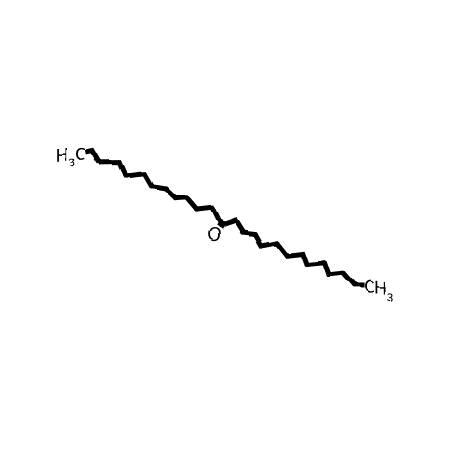 CCCCCCCCCCCCCC(=O)CCCCCCCCCCCC